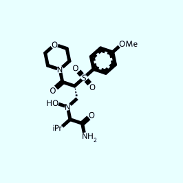 COc1ccc(S(=O)(=O)[C@H](CN(O)C(C(N)=O)C(C)C)C(=O)N2CCOCC2)cc1